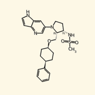 CS(=O)(=O)N[C@H]1CCN(c2cnc3cc[nH]c3c2)[C@H]1CO[C@H]1CC[C@@H](c2ccccc2)CC1